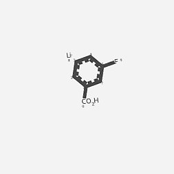 O=C(O)c1cccc(F)c1.[Li]